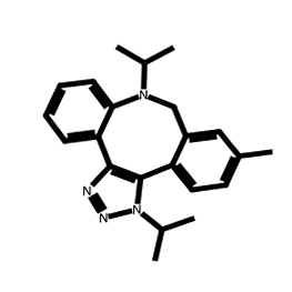 Cc1ccc2c(c1)CN(C(C)C)c1ccccc1-c1nnn(C(C)C)c1-2